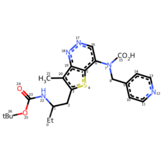 CCC(Cc1sc2c(N(Cc3ccncc3)C(=O)O)cnnc2c1C)NC(=O)OC(C)(C)C